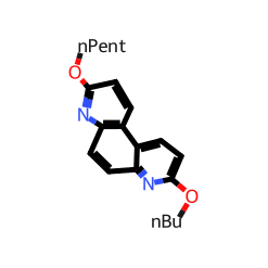 CCCCCOc1ccc2c(ccc3nc(OCCCC)ccc32)n1